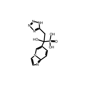 O=P(O)(O)C(O)(Cc1nnn[nH]1)c1ccc2nccn2c1